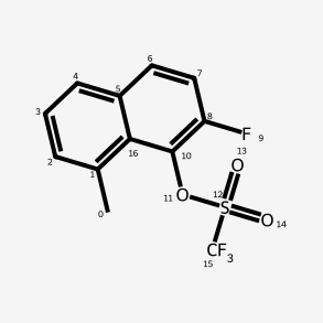 Cc1cccc2ccc(F)c(OS(=O)(=O)C(F)(F)F)c12